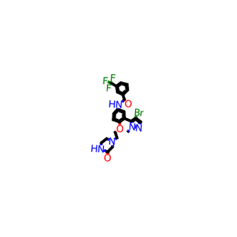 Cn1ncc(Br)c1-c1cc(NC(=O)c2cccc(C(F)(F)F)c2)ccc1OCCN1CCNC(=O)C1